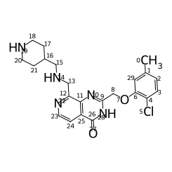 Cc1ccc(Cl)c(OCc2nc3c(CNCC4CCNCC4)nccc3c(=O)[nH]2)c1